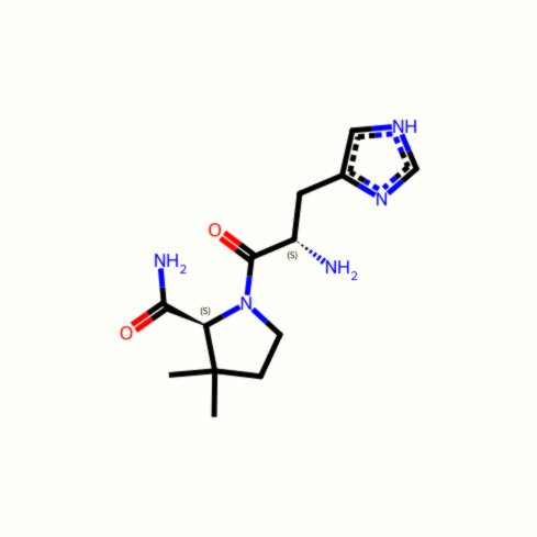 CC1(C)CCN(C(=O)[C@@H](N)Cc2c[nH]cn2)[C@@H]1C(N)=O